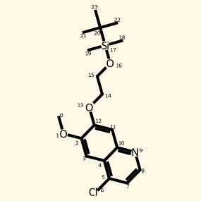 COc1cc2c(Cl)ccnc2cc1OCCO[Si](C)(C)C(C)(C)C